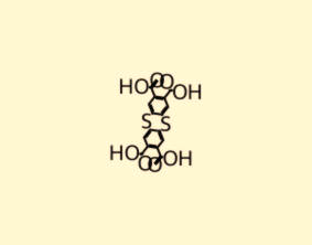 O=C(O)c1cc2c(cc1C(=O)O)Sc1cc(C(=O)O)c(C(=O)O)cc1S2